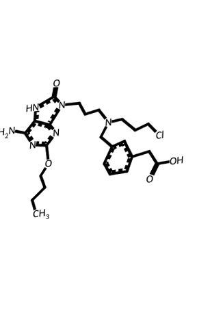 CCCCOc1nc(N)c2[nH]c(=O)n(CCCN(CCCCl)Cc3cccc(CC(=O)O)c3)c2n1